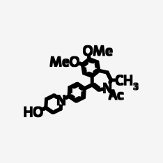 COc1cc2c(cc1OC)C(c1ccc(N3CCC(O)CC3)cc1)=CN(C(C)=O)C(C)C2